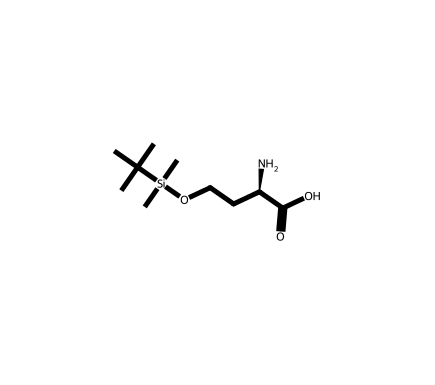 CC(C)(C)[Si](C)(C)OCC[C@@H](N)C(=O)O